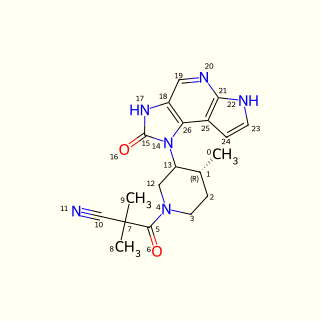 C[C@@H]1CCN(C(=O)C(C)(C)C#N)CC1n1c(=O)[nH]c2cnc3[nH]ccc3c21